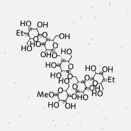 CC[C@@H]1C(CO)O[C@H](O[C@@H]2C(CO[C@@H]3OC(CO)[C@@H](CO[C@H]4OC(CO)[C@@H](O[C@H]5OC(CO)[C@@H](CC)[C@H](O)C5O)[C@H](O)C4O)[C@H](O)C3O)O[C@H](O[C@@H]3C(CO)O[C@H](OC)C(O)[C@H]3O)C(O)[C@H]2O)C(O)[C@H]1O